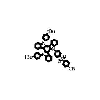 CC(C)(C)c1ccc(-n2c3ccccc3c3c2c2c4ccccc4n(-c4ccc(S(=O)(=O)c5ccc(C#N)cc5)cc4)c2c2c4ccccc4n(-c4ccc(C(C)(C)C)cc4)c32)cc1